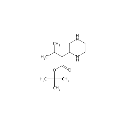 CC(C)C(C(=O)OC(C)(C)C)C1CNCCN1